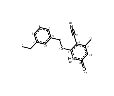 CCc1cccc(CSc2[nH]c(=O)cc(C)c2C#N)c1